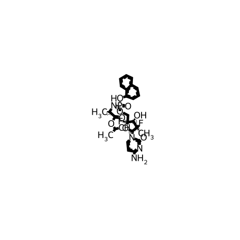 CC(C)OC(=O)[C@H](C)N[P@@](=O)(OC[C@@]1(F)O[C@@H](n2ccc(N)nc2=O)[C@](C)(F)[C@@H]1O)Oc1cccc2ccccc12